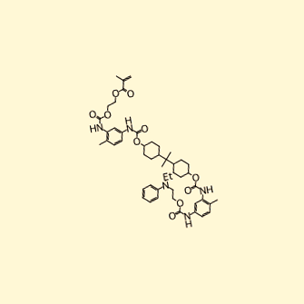 C=C(C)C(=O)OCCOC(=O)Nc1cc(NC(=O)OC2CCC(C(C)(C)C3CCC(OC(=O)Nc4cc(NC(=O)OCCN(CC)c5ccccc5)ccc4C)CC3)CC2)ccc1C